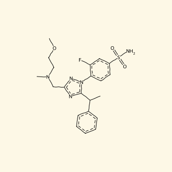 COCCN(C)Cc1nc(C(C)c2ccccc2)n(-c2ccc(S(N)(=O)=O)cc2F)n1